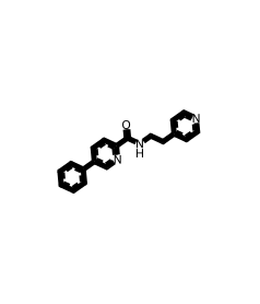 O=C(NCCc1ccncc1)c1ccc(-c2ccccc2)cn1